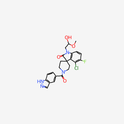 COC(O)CN1C(=O)C2(CCN(C(=O)c3ccc4[nH]ncc4c3)CC2)c2c1ccc(F)c2Cl